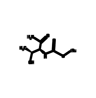 C[C@@H](O)[C@H](NC(=O)OC(C)(C)C)C(N)=O